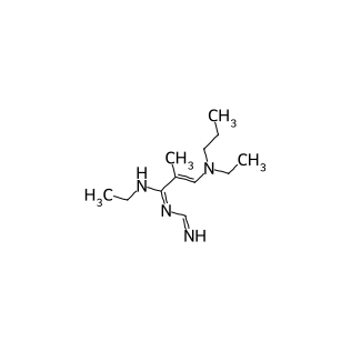 CCCN(/C=C(C)/C(=N\C=N)NCC)CC